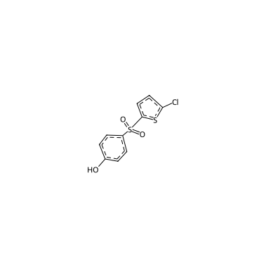 O=S(=O)(c1ccc(O)cc1)c1ccc(Cl)s1